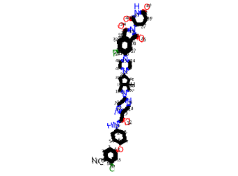 N#Cc1ccc(O[C@H]2CC[C@H](NC(=O)c3cnc(N4CC5C[C@@H](N6CCN(c7cc8c(cc7F)C(=O)N(C7CCC(=O)NC7=O)C8=O)CC6)C[C@H]5C4)cn3)CC2)cc1Cl